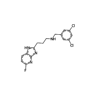 Fc1ccc2[nH]c(CCCNCc3cc(Cl)cc(Cl)c3)nc2n1